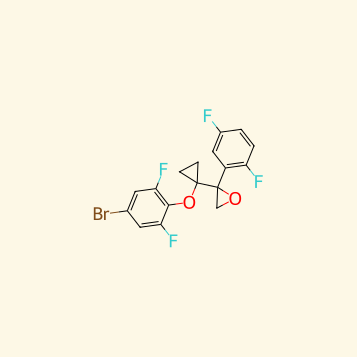 Fc1ccc(F)c(C2(C3(Oc4c(F)cc(Br)cc4F)CC3)CO2)c1